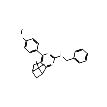 COc1ccc(-c2nc(NCc3ccccc3)nc3c2CC2CC3C2(C)C)cc1